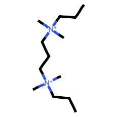 CCC[N+](C)(C)CCC[N+](C)(C)CCC